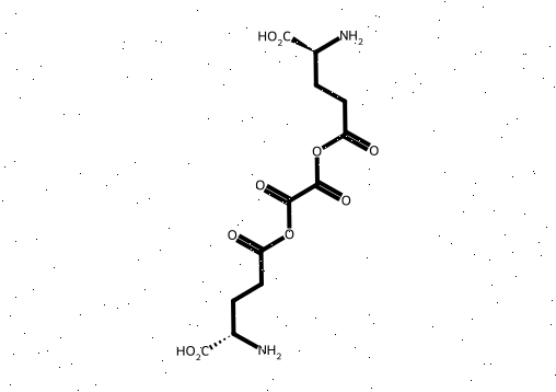 N[C@@H](CCC(=O)OC(=O)C(=O)OC(=O)CC[C@H](N)C(=O)O)C(=O)O